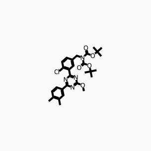 COc1nc(-c2ccc(C)c(C)c2)nc(-c2cc(CN(C(=O)OC(C)(C)C)C(=O)OC(C)(C)C)ccc2Cl)n1